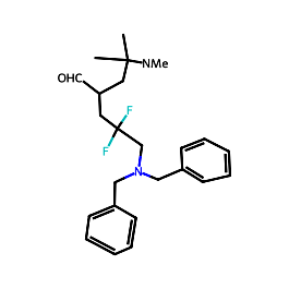 CNC(C)(C)CC(C=O)CC(F)(F)CN(Cc1ccccc1)Cc1ccccc1